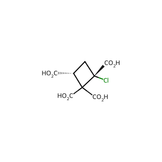 O=C(O)[C@@H]1C[C@@](Cl)(C(=O)O)C1(C(=O)O)C(=O)O